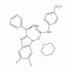 CO[C@H](c1ccccc1)c1nc2cc(F)c(F)cc2n1[C@H](C(=O)Nc1ccc(C(=O)O)cn1)C1CCCCC1